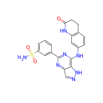 NS(=O)(=O)c1cccc(-c2nc(Nc3ccc4c(c3)NC(=O)CC4)c3[nH]ncc3n2)c1